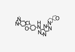 Cn1cnc2cc(Oc3ccc(Nc4ncnc5cnc(N6CCC7(CCOC7)C6)nc45)cc3Cl)ccc21